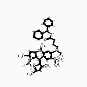 CCN(CCCC(=O)OC(c1ccccc1)c1ccccc1)c1cc(OC)c(/C(=C2/N=C(C)C=C2C)c2c(C)cc(C)n2B(F)F)cc1N(C)C